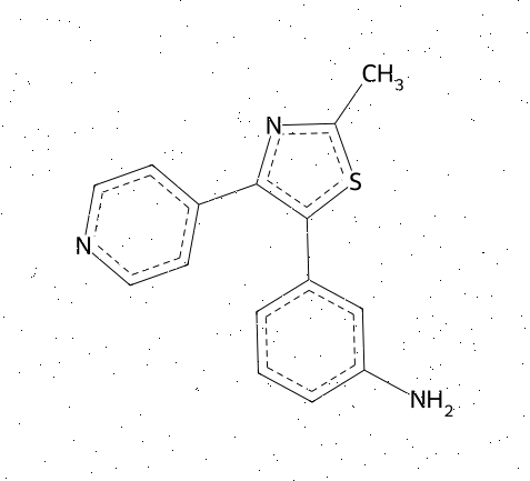 Cc1nc(-c2ccncc2)c(-c2cccc(N)c2)s1